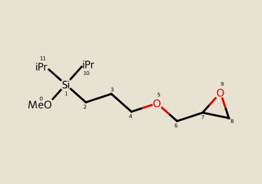 CO[Si](CCCOCC1CO1)(C(C)C)C(C)C